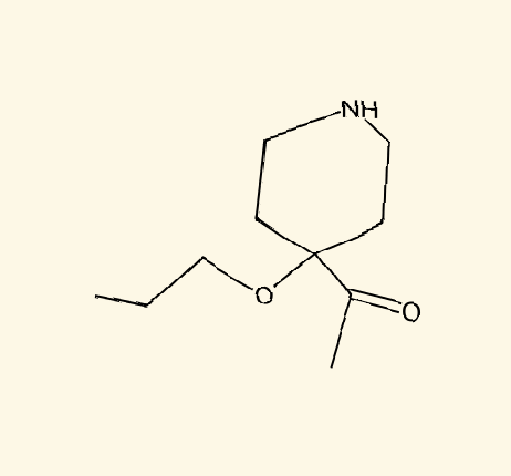 CCCOC1(C(C)=O)CCNCC1